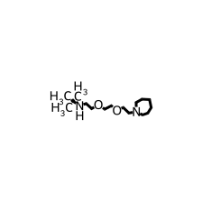 CC(C)(C)NCCOCCOCCN1CCCCCC1